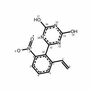 C=Cc1cccc([N+](=O)[O-])c1-c1nc(O)nc(O)n1